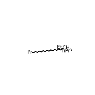 CCCC(C)(CC)CCCCCCCCCCCCCCCC(C)C